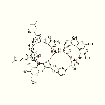 CNCCN[C@@]1(C)C[C@H](O[C@H]2[C@H](Oc3c4cc5cc3Oc3ccc(cc3Cl)[C@@H](O)[C@@H]3NC(=O)[C@H](NC(=O)[C@@H]5NC(=O)C(C(N)=O)NC(=O)C(NC(=O)[C@@H](CC(C)C)NC)[C@H](O)c5ccc(c(Cl)c5)O4)c4ccc(O)c(c4)-c4c(O)cc(O)cc4[C@@H](C(=O)O)NC3=O)O[C@H](CO)[C@@H](O)[C@@H]2O)O[C@@H](C)[C@H]1O